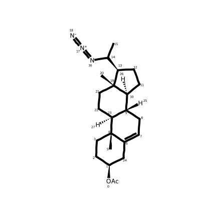 CC(=O)O[C@H]1CC[C@@]2(C)C(=CC[C@H]3[C@@H]4CC[C@H](C(C)N=[N+]=[N-])[C@@]4(C)CC[C@@H]32)C1